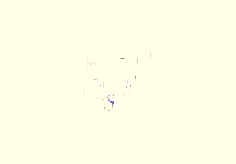 C/C=C(\C)[C@@H]1C/C=C/C=C/[C@@H](O)C(C)[C@@H](O)CC(=O)NC(C(C)C)C(=O)N[C@@H](Cc2cccc(O)c2)C(=O)N2CCC[C@H](N2)C(=O)O1